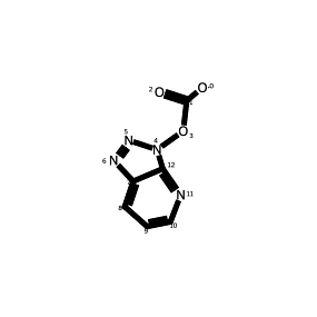 [O]C(=O)On1nnc2cccnc21